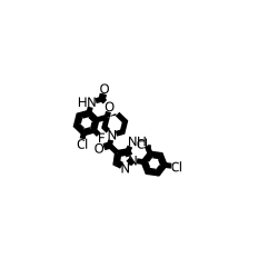 Nc1c(C(=O)N2CCC[C@@]3(C2)OC(=O)Nc2ccc(Cl)c(F)c23)cnn1-c1ccc(Cl)cc1Cl